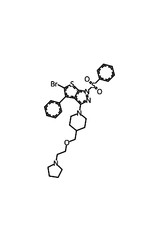 O=S(=O)(c1ccccc1)n1nc(N2CCC(COCCN3CCCC3)CC2)c2c(-c3ccccc3)c(Br)sc21